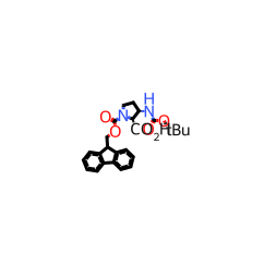 CC(C)(C)OC(=O)N[C@@H]1CCN(C(=O)OCC2c3ccccc3-c3ccccc32)[C@@H]1C(=O)O